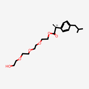 CC(C)Cc1ccc([C@H](C)C(=O)OCCOCCOCCOCCO)cc1